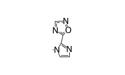 C1=CN=C(c2ncno2)[N]1